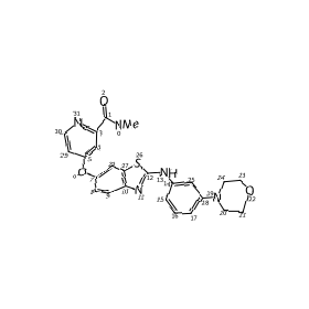 CNC(=O)c1cc(Oc2ccc3nc(Nc4cccc(N5CCOCC5)c4)sc3c2)ccn1